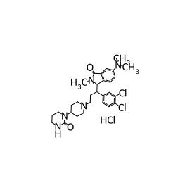 CN(C)c1ccc2c(c1)C(=O)N(C)C2C(CCN1CCC(N2CCCNC2=O)CC1)c1ccc(Cl)c(Cl)c1.Cl